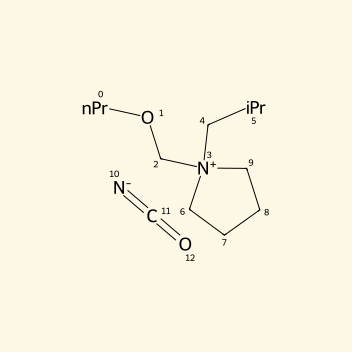 CCCOC[N+]1(CC(C)C)CCCC1.[N-]=C=O